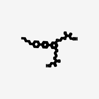 C=C(CO)C(=O)OCCOc1cc(OCCOC(=O)C(=C)CO)cc(-c2ccc(C3CCC(CCCCC)CC3)cc2)c1